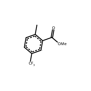 COC(=O)c1[c]c(C(F)(F)F)ccc1C